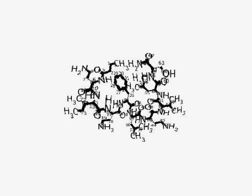 CCCC(=O)N[C@@H](CCN)C(=O)N[C@H](C(=O)N[C@@H](CCN)C(=O)N[C@H](Cc1ccccc1)C(=O)N[C@@H](CC(C)C)C(=O)N[C@@H](CCN)C(=O)N[C@@H](C(=O)N[C@@H](CC(C)C)C(=O)N[C@@H](CO)C(N)=O)C(C)C)[C@@H](C)CC